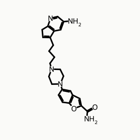 NC(=O)c1cc2cc(N3CCN(CCCCC4=CCc5ncc(N)cc54)CC3)ccc2o1